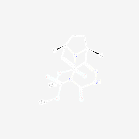 CC(C)(C)OC(=O)N1C(=O)NN=C2C1=C[C@@H]1CC[C@H]2N1C(=O)OC(C)(C)C